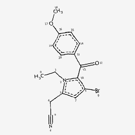 CCn1c(CC#N)cc(Br)c1C(=O)c1ccc(OC)cc1